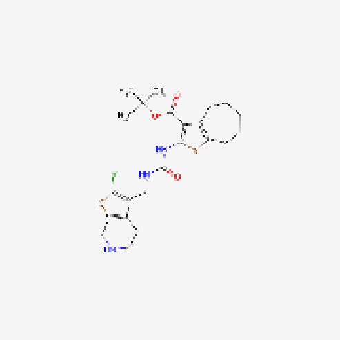 CC(C)(C)OC(=O)c1c(NC(=O)NCc2c(Br)sc3c2CCNC3)sc2c1CCCCC2